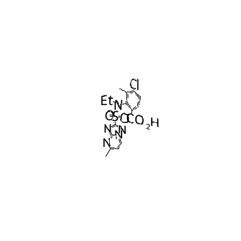 CCN(c1c(C(=O)O)ccc(Cl)c1C)S(=O)(=O)c1nc2nc(C)ccn2n1